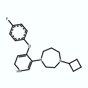 Fc1ccc(OC2=CCN[C]=C2N2CCCN(C3CCC3)CC2)cc1